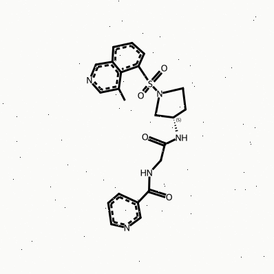 Cc1cncc2cccc(S(=O)(=O)N3CC[C@H](NC(=O)CNC(=O)c4cccnc4)C3)c12